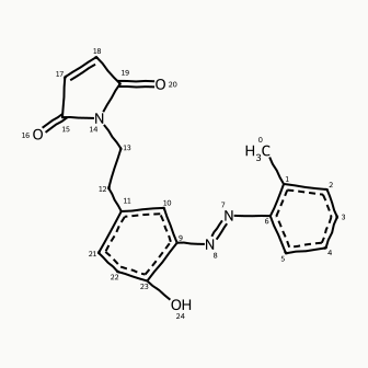 Cc1ccccc1N=Nc1cc(CCN2C(=O)C=CC2=O)ccc1O